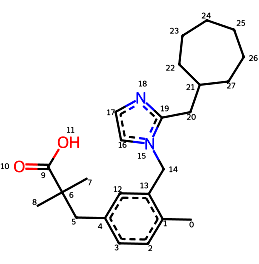 Cc1ccc(CC(C)(C)C(=O)O)cc1Cn1ccnc1CC1CCCCCC1